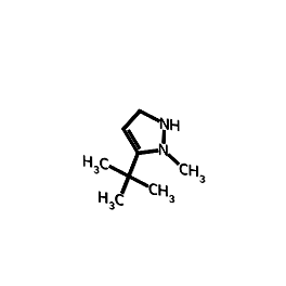 CN1NCC=C1C(C)(C)C